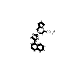 O=C(O)CCN(Cc1cccs1)c1nc(-c2cccc3ccccc23)cs1